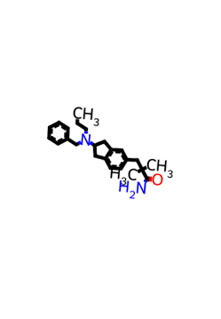 CCCN(Cc1ccccc1)C1Cc2ccc(CC(C)(C)C(N)=O)cc2C1